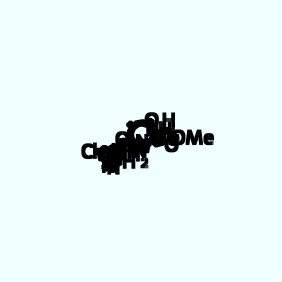 C=N/N=C\N(N)c1ccc(Cl)cc1/C=C/C(=O)N[C@H]1CCC(C)CCC(=O)Nc2cc(NC(=O)OC)ccc2-c2c[nH]c1n2